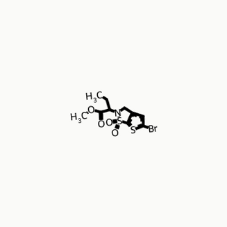 CCC(C(=O)OC)N1Cc2cc(Br)sc2S1(=O)=O